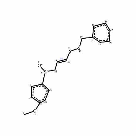 COc1ccc([S+]([O-])C/C=C/SSCc2ccccc2)cc1